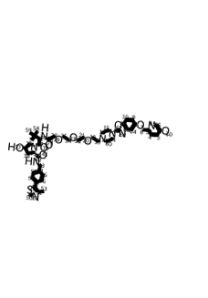 COc1ccc(COc2ccc3oc(N4CCN(CCOCCOCCOCC(=O)N[C@H](C(=O)N5C[C@H](O)C[C@H]5C(=O)NCc5ccc(-c6scnc6C)cc5)C(C)(C)C)CC4)nc3c2)nc1